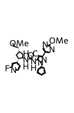 COCC[C@@H]1C[C@@H](NC(=O)Nc2c(C)c(-c3cnc(OC)nc3)nn2-c2ccccc2)[C@H](c2ccnc(F)c2)C1